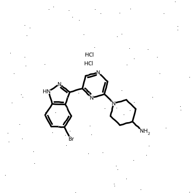 Cl.Cl.NC1CCN(c2cncc(-c3n[nH]c4ccc(Br)cc34)n2)CC1